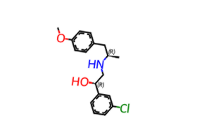 COc1ccc(C[C@@H](C)NC[C@H](O)c2cccc(Cl)c2)cc1